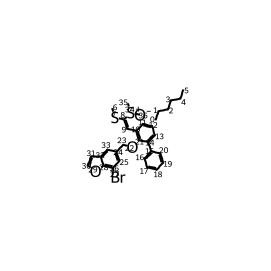 CCCCCC.CSC(=Cc1cccc(-c2ccccc2)c1OCc1cc(Br)c2occc2c1)[S+](C)[O-]